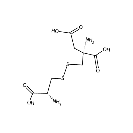 N[C@@H](CSSC[C@@](N)(CC(=O)O)C(=O)O)C(=O)O